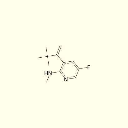 C=C(c1cc(F)cnc1NC)C(C)(C)C